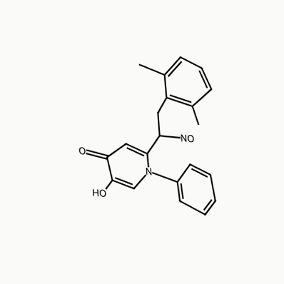 Cc1cccc(C)c1CC(N=O)c1cc(=O)c(O)cn1-c1ccccc1